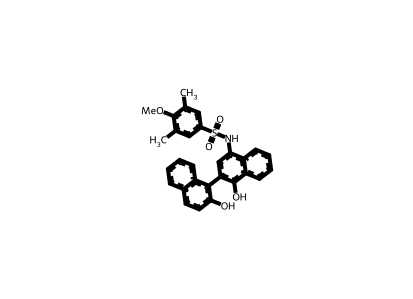 COc1c(C)cc(S(=O)(=O)Nc2cc(-c3c(O)ccc4ccccc34)c(O)c3ccccc23)cc1C